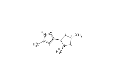 Cc1cc(C2C[C@H](C)CN2C)on1